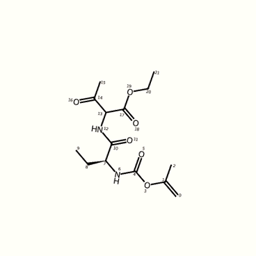 C=C(C)OC(=O)N[C@@H](CC)C(=O)NC(C(C)=O)C(=O)OCC